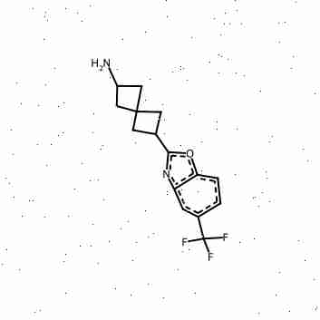 NC1CC2(C1)CC(c1nc3cc(C(F)(F)F)ccc3o1)C2